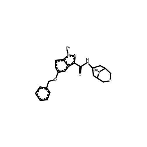 CCCCN1C2COCC1CC(NC(=O)c1nn(C(C)C)c3ccc(OCc4ccccc4)cc13)C2